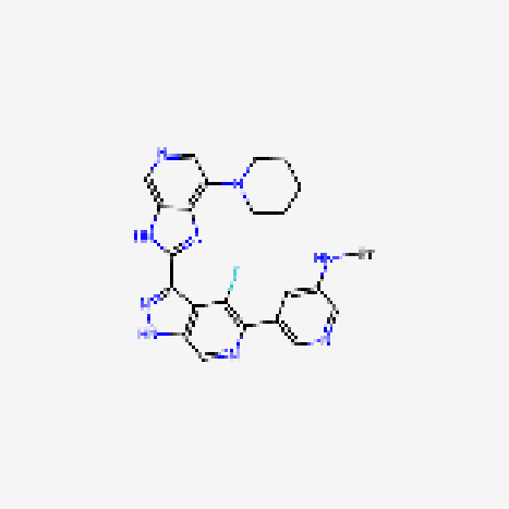 CC(C)Nc1cncc(-c2ncc3[nH]nc(-c4nc5c(N6CCCCC6)cncc5[nH]4)c3c2F)c1